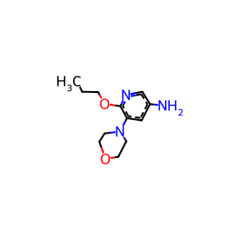 CCCOc1ncc(N)cc1N1CCOCC1